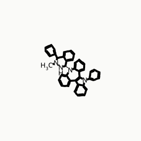 CN1N[C@@H](N2c3ccccc3-c3c(n(-c4ccccc4)c4ccccc34)-c3ccccc32)c2ccccc2C1c1ccccc1